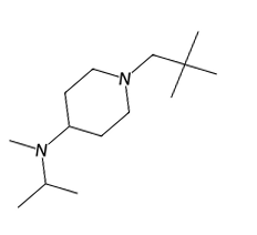 CC(C)N(C)C1CCN(CC(C)(C)C)CC1